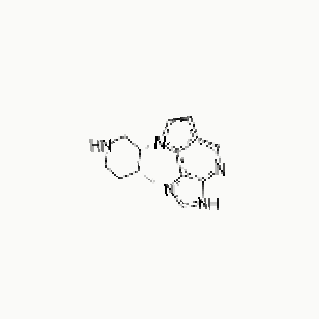 C[C@@H]1CCNC[C@@H]1n1ccc2cnc3[nH]cnc3c21